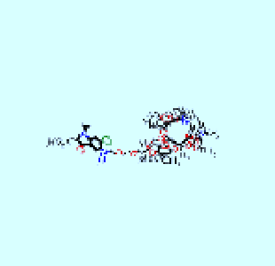 CC[C@H]1OC(=O)[C@H](C)[C@@H](O[C@H]2C[C@@](C)(OC)[C@@H](OC(=O)CCOCCOCCNc3cc4c(=O)c(C(=O)O)cn(C5CC5)c4cc3Cl)[C@H](C)O2)[C@H](C)[C@@H](O[C@@H]2O[C@H](C)C[C@H](N(C)C)[C@H]2O)[C@](C)(O)C[C@@H](C)CN(C)[C@H](C)[C@@H](OC)[C@]1(C)O